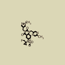 Cc1cnc(Cn2c(=O)n(Cc3cnn(C)c3)c(=O)c3cc(N([SH](=O)=O)C4(CF)CC4)ccc32)cn1